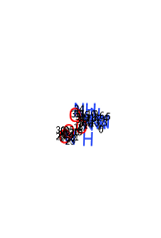 CCn1nc(C)cc1-c1ncc2c(n1)[nH]c1c(OCCCCN(C)C(=O)OC(C)(C)C)cc(C(N)=O)cc12